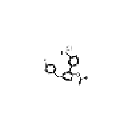 ONc1cccc(-c2cc(Cc3ccc(F)cc3)ccc2OC(F)F)c1